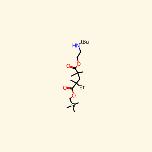 CCC(C)(CC(C)(C)C(=O)OCCNC(C)(C)C)C(=O)OC[Si](C)(C)C